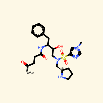 CNC(=O)CCC(=O)NC(Cc1ccccc1)C(O)CN(C[C@H]1CCCN1)S(=O)(=O)c1cn(C)cn1